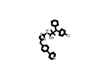 CC(C)(C(O)Nc1nc(Cc2ccc(-c3ccncc3)cc2)cs1)C(c1ccccc1)c1ccc(Cl)cc1